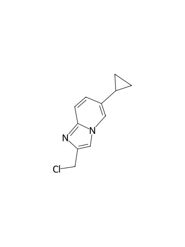 ClCc1cn2cc(C3CC3)ccc2n1